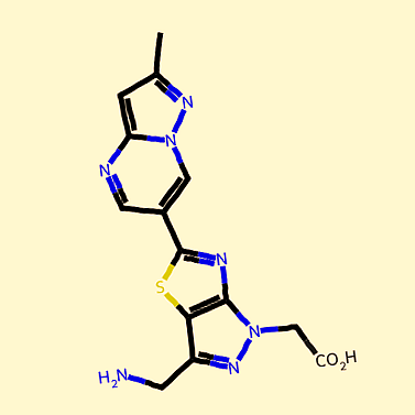 Cc1cc2ncc(-c3nc4c(s3)c(CN)nn4CC(=O)O)cn2n1